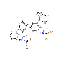 CC(NC(=S)[S-])(c1ccccc1)c1ccccc1.CC(NC(=S)[S-])(c1ccccc1)c1ccccc1.[Ca+2]